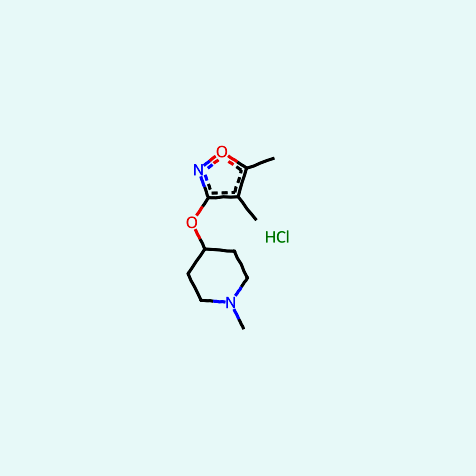 Cc1onc(OC2CCN(C)CC2)c1C.Cl